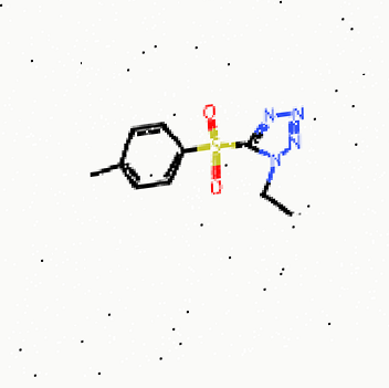 [CH2]Cn1nnnc1S(=O)(=O)c1ccc(C)cc1